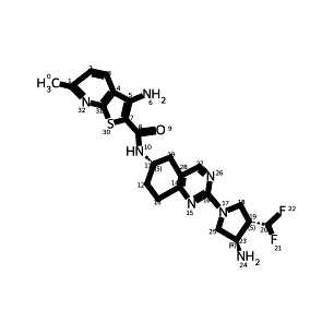 Cc1ccc2c(N)c(C(=O)N[C@H]3CCc4nc(N5C[C@H](C(F)F)[C@@H](N)C5)ncc4C3)sc2n1